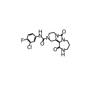 O=C1NCCCn2c1c1n(c2=O)CCN(C(=O)Nc2ccc(F)c(Cl)c2)C1